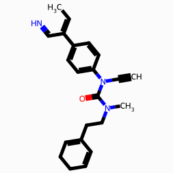 C#CN(C(=O)N(C)CCC1=CCCC=C1)c1ccc(/C(C=N)=C/C)cc1